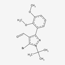 COc1cccc(-c2nn(C(C)(C)C)c(Br)c2C=O)c1OC